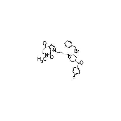 BrCc1ccccc1.CN1CCC(=O)c2ccn(CCCCN3CCC(C(=O)c4ccc(F)cc4)CC3)c2C1=O